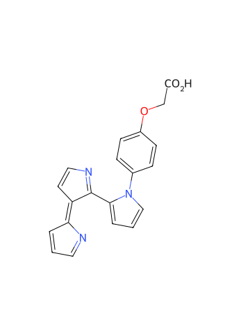 O=C(O)COc1ccc(-n2cccc2C2=NC=CC2=C2C=CC=N2)cc1